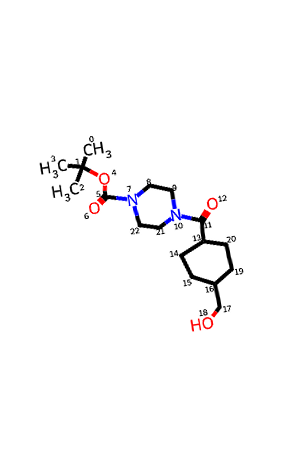 CC(C)(C)OC(=O)N1CCN(C(=O)C2CCC(CO)CC2)CC1